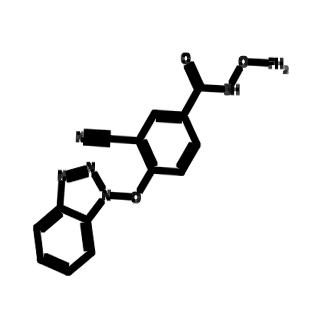 N#Cc1cc(C(=O)BOP)ccc1On1nnc2ccccc21